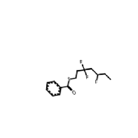 CCC(F)CC(F)(F)CCSC(=O)c1ccccc1